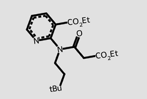 CCOC(=O)CC(=O)N(CCC(C)(C)C)c1ncccc1C(=O)OCC